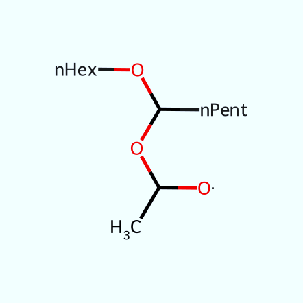 CCCCCCOC(CCCCC)OC(C)[O]